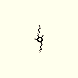 COCCOc1c(C)cc(CCC=O)cc1C